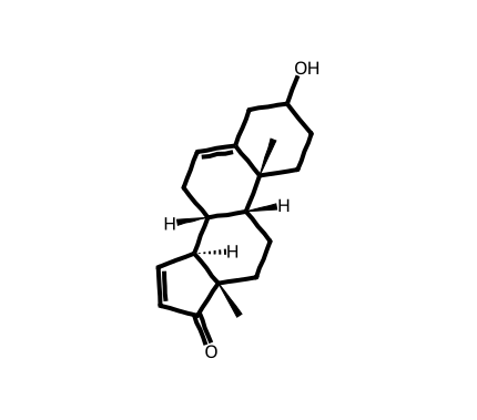 C[C@]12CCC(O)CC1=CC[C@@H]1[C@H]2CC[C@]2(C)C(=O)C=C[C@@H]12